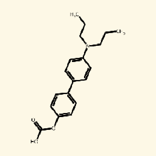 CCCN(CCC)c1ccc(-c2ccc(OC(=O)O)cc2)cc1